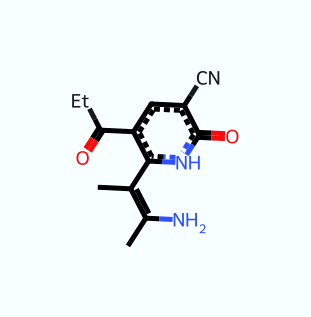 CCC(=O)c1cc(C#N)c(=O)[nH]c1C(C)=C(C)N